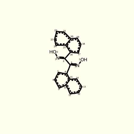 ON=C(C(=NO)c1cccc2ccccc12)c1cccc2ccccc12